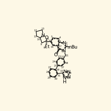 CCCCc1nc2ccc(C3(CC)CC4CCCN4O3)cc2c(=O)n1Cc1ccc(-c2ccccc2-c2nnn[nH]2)cc1